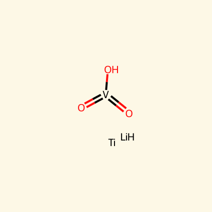 [LiH].[O]=[V](=[O])[OH].[Ti]